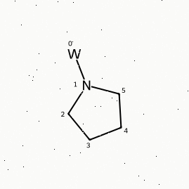 [W][N]1CCCC1